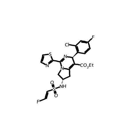 CCOC(=O)C1=C2C[C@H](NS(=O)(=O)/C=C/F)CN2C(c2nccs2)=N[C@H]1c1ccc(F)cc1Cl